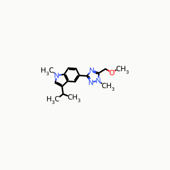 COCc1nc(-c2ccc3c(c2)c(C(C)C)cn3C)nn1C